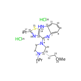 CCCN1CCN(C2=Nc3ccccc3Nc3sc(C(C)C)nc32)C[C@@H]1CCOC.Cl.Cl